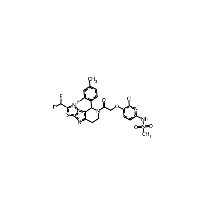 Cc1ccc(C2c3c(nc4sc(C(F)F)nn34)CCN2C(=O)COc2ccc(NS(C)(=O)=O)nc2Cl)c(F)c1